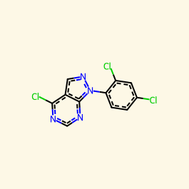 Clc1ccc(-n2ncc3c(Cl)ncnc32)c(Cl)c1